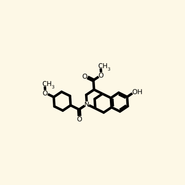 COC(=O)C1CN(C(=O)C2CCC(OC)CC2)C2Cc3ccc(O)cc3C1C2